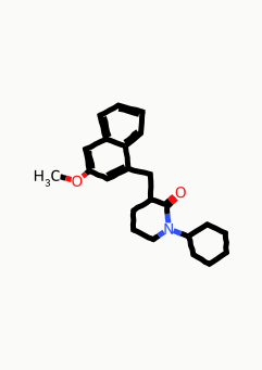 COc1cc(CC2CCCN(C3CCCCC3)C2=O)c2ccccc2c1